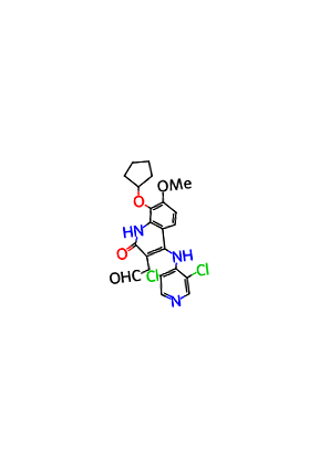 COc1ccc2c(Nc3c(Cl)cncc3Cl)c(CC=O)c(=O)[nH]c2c1OC1CCCC1